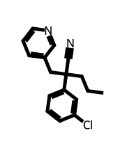 CCCC(C#N)(Cc1cccnc1)c1cccc(Cl)c1